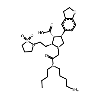 CCCCN(CCCCN)C(=O)CN1C[C@H](c2ccc3c(c2)CCO3)[C@@H](C(=O)O)[C@@H]1CCN1CCCS1(=O)=O